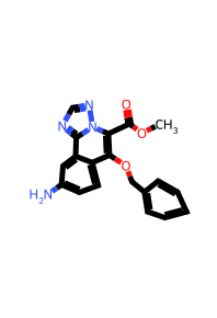 COC(=O)c1c(OCc2ccccc2)c2ccc(N)cc2c2ncnn12